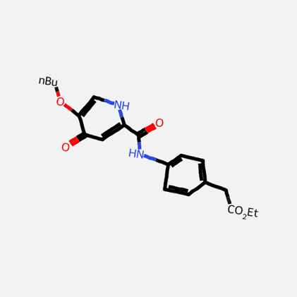 CCCCOc1c[nH]c(C(=O)Nc2ccc(CC(=O)OCC)cc2)cc1=O